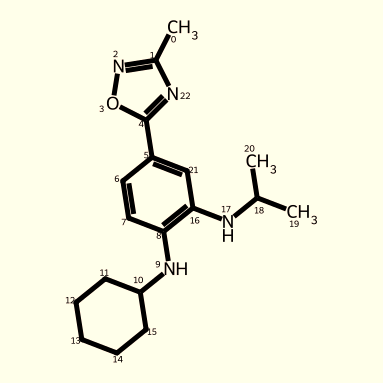 Cc1noc(-c2ccc(NC3CCCCC3)c(NC(C)C)c2)n1